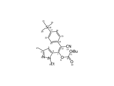 CCn1nc(C)cc1/C(OC(=O)OCC(C)C)=C(/C#N)c1ccc([Si](C)(C)C)cc1